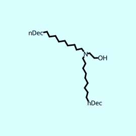 CCCCCCCCCCCCCCCCCCCN(CCO)CCCCCCCCCCCCCCCCCCC